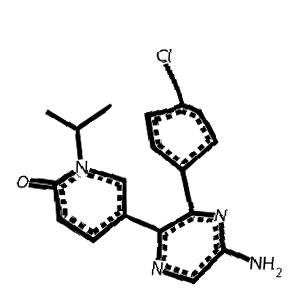 CC(C)n1cc(-c2ncc(N)nc2-c2ccc(Cl)cc2)ccc1=O